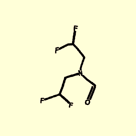 O=CN(CC(F)F)CC(F)F